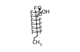 CCCC(F)(F)C(F)(F)C(F)(F)C(F)(F)C(F)(F)C(F)(F)S(=O)(=O)O